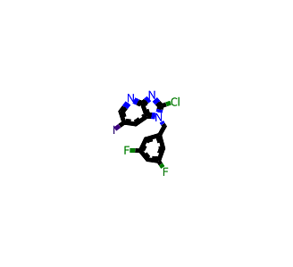 Fc1cc(F)cc(Cn2c(Cl)nc3ncc(I)cc32)c1